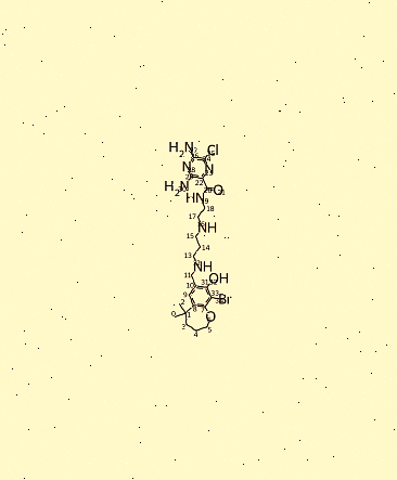 CC1(C)CCCOc2c1cc(CNCCCNCCNC(=O)c1nc(Cl)c(N)nc1N)c(O)c2Br